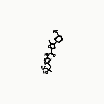 Cc1oc(C(=O)Nc2nc(CC(C)(O)C(F)(F)F)ns2)cc1-c1cccc(C#N)c1